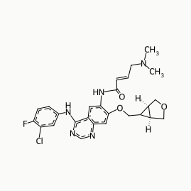 CN(C)C/C=C/C(=O)Nc1cc2c(Nc3ccc(F)c(Cl)c3)ncnc2cc1OCC1[C@H]2COC[C@@H]12